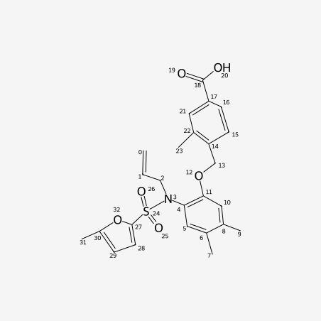 C=CCN(c1cc(C)c(C)cc1OCc1ccc(C(=O)O)cc1C)S(=O)(=O)c1ccc(C)o1